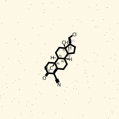 C[C@]12CCC(=O)C(C#N)=C1CC[C@@H]1[C@@H]2CC[C@]2(C)/C(=C/Cl)CC[C@@H]12